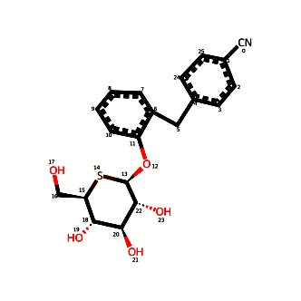 N#Cc1ccc(Cc2ccccc2O[C@@H]2S[C@H](CO)[C@@H](O)[C@H](O)[C@H]2O)cc1